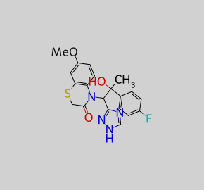 COc1ccc2c(c1)SCC(=O)N2C(c1nc[nH]n1)C(C)(O)c1ccc(F)cc1